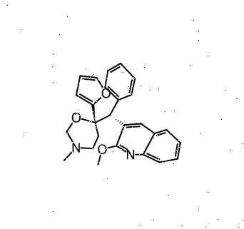 COc1nc2ccccc2cc1[C@@H](c1ccccc1)[C@]1(c2ccco2)CCN(C)CO1